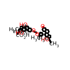 CC#C[C@]1(O)CCC2C3CCC4=CC(=O)CCC4=C3[C@@H](c3ccc(OCCO[C@H]4CC[C@@]5(C)C(C4)C[C@@H](O)[C@H]4[C@@H]6CC[C@H]([C@H](C)CCC(=O)O)[C@@]6(C)[C@@H](O)C[C@@H]45)c(C)c3)C[C@@]21C